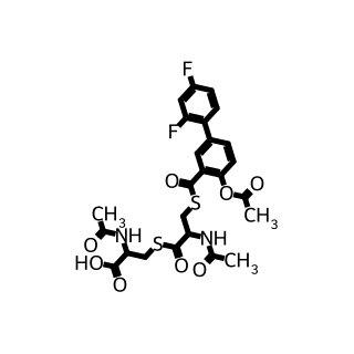 CC(=O)NC(CSC(=O)C(CSC(=O)c1cc(-c2ccc(F)cc2F)ccc1OC(C)=O)NC(C)=O)C(=O)O